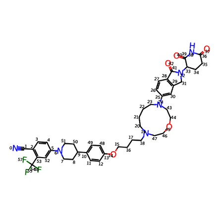 N#Cc1ccc(N2CCC(c3ccc(OCCCCN4CCCCN(c5ccc6c(c5)CN(C5CCC(=O)NC5=O)C6=O)CCOCC4)cc3)CC2)cc1C(F)(F)F